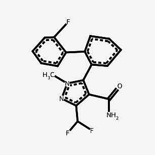 Cn1nc(C(F)F)c(C(N)=O)c1-c1ccccc1-c1ccccc1F